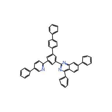 c1ccc(-c2ccc(-c3cc(-c4ccc(-c5ccccc5)cn4)cc(-c4nc(-c5ccccc5)c5ccc(-c6ccccc6)cc5n4)c3)cc2)cc1